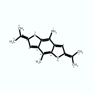 CC(C)=c1cc2c(P)c3sc(=C(C)C)cc3c(C)c2s1